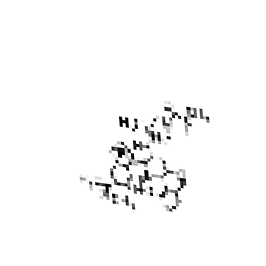 C=C(F)C(=O)N1CCN(c2nc(=O)n(-c3c(C)cc(P(C)(C)=O)nc3CC)c3nc(-c4c(O)cccc4F)c(Cl)cc23)[C@@H](C)C1